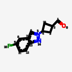 O=CC1CC(n2cc3cc(F)ccc3n2)C1